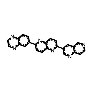 c1cc2ncc(-c3ccc4nc(-c5ccc6nccnc6c5)ccc4n3)cc2cn1